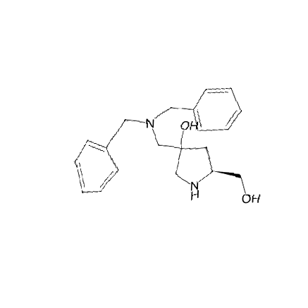 OC[C@@H]1CC(O)(CN(Cc2ccccc2)Cc2ccccc2)CN1